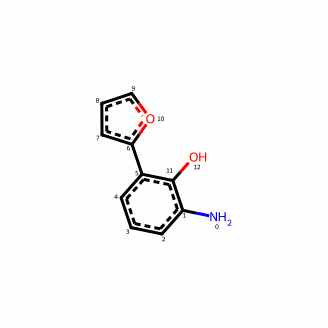 Nc1cccc(-c2ccco2)c1O